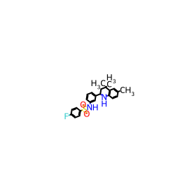 Cc1ccc2c(c1)C(C)(C)CC(c1cccc(NS(=O)(=O)c3ccc(F)cc3)c1)N2